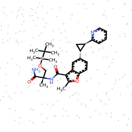 Cc1oc2ccc([C@@H]3C[C@H]3c3ccccn3)cc2c1C(=O)N[C@@](C)(CO[Si](C)(C)C(C)(C)C)C(N)=O